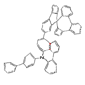 c1ccc(-c2ccc(N(c3ccc(-c4ccc5c(c4)C4(c6ccccc6-c6ccccc6-c6ccccc64)c4ccccc4-5)cc3)c3ccccc3-c3ccccc3)cc2)cc1